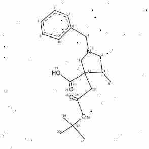 CC1CN(Cc2ccccc2)CC1(CC(=O)OC(C)(C)C)C(=O)O